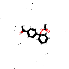 CC(=O)OC1(c2ccc(C(C)=O)cc2)C=CC=CC1